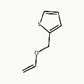 C=COCc1cccs1